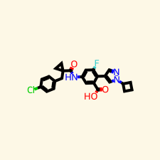 O=C(O)c1cc(NC(=O)C2(Cc3ccc(Cl)cc3)CC2)cc(F)c1-c1cnn(C2CCC2)c1